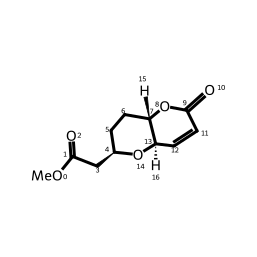 COC(=O)C[C@H]1CC[C@@H]2OC(=O)C=C[C@H]2O1